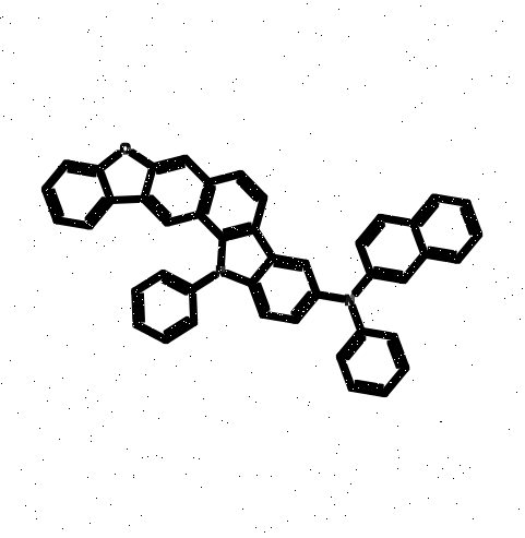 c1ccc(N(c2ccc3ccccc3c2)c2ccc3c(c2)c2ccc4cc5oc6ccccc6c5cc4c2n3-c2ccccc2)cc1